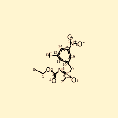 CCOC(=O)N=S(C)(=O)Cc1cc(F)cc([N+](=O)[O-])c1